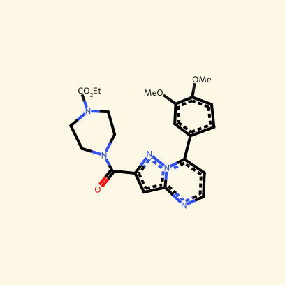 CCOC(=O)N1CCN(C(=O)c2cc3nccc(-c4ccc(OC)c(OC)c4)n3n2)CC1